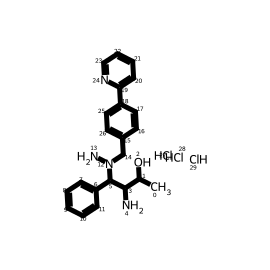 CC(O)C(N)C(c1ccccc1)N(N)Cc1ccc(-c2ccccn2)cc1.Cl.Cl.Cl